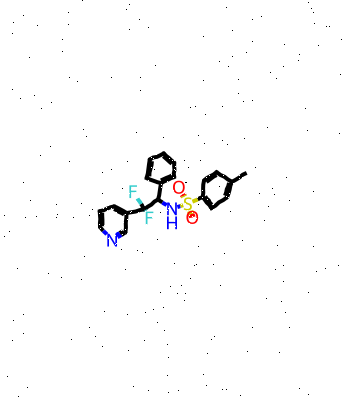 Cc1ccc(S(=O)(=O)NC(c2ccccc2)C(F)(F)c2cccnc2)cc1